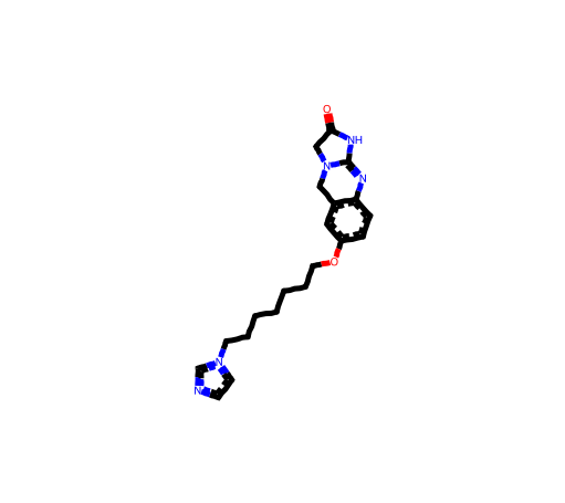 O=C1CN2Cc3cc(OCCCCCCCn4ccnc4)ccc3N=C2N1